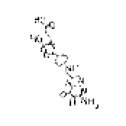 NC1=NC2N=CC(CNc3ccc(C(=O)C[C@H](CCC(=O)O)C(=O)O)cc3)=NC2C(=O)N1